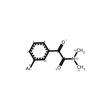 CC(=O)c1cccc(C(=O)C(=O)N(C)C)c1